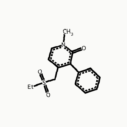 CCS(=O)(=O)Cc1ccn(C)c(=O)c1-c1ccccc1